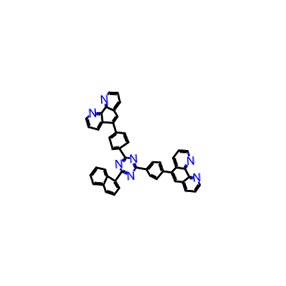 c1ccc2c(-c3nc(-c4ccc(-c5cc6cccnc6c6ncccc56)cc4)nc(-c4ccc(-c5cc6cccnc6c6ncccc56)cc4)n3)cccc2c1